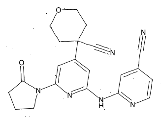 N#Cc1ccnc(Nc2cc(C3(C#N)CCOCC3)cc(N3CCCC3=O)n2)c1